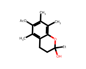 CCC1(O)CCc2c(C)c(OC(C)=O)c(C)c(C)c2O1